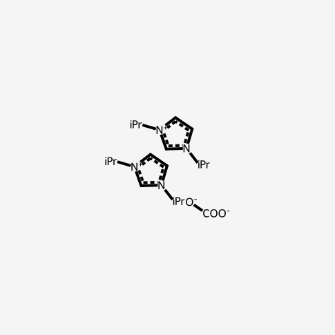 CC(C)n1cc[n+](C(C)C)c1.CC(C)n1cc[n+](C(C)C)c1.O=C([O-])[O-]